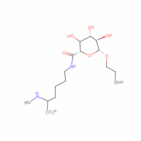 CCCCCCCCCCCCO[C@@H]1O[C@H](C(=O)NCCCCC(NC(C)(C)C)C(=O)O)C(O)[C@H](O)[C@H]1O